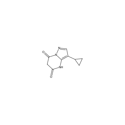 O=C1CC(=O)n2ncc(C3CC3)c2N1